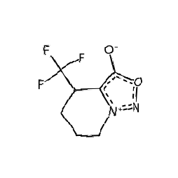 [O-]c1on[n+]2c1C(C(F)(F)F)CCC2